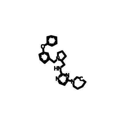 c1ccc(Oc2cccc(CN3CCCC3CNc3nccc(N4CCCCCC4)n3)c2)cc1